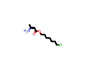 C/C(N)=C/C(=O)OCCCCCCCCl